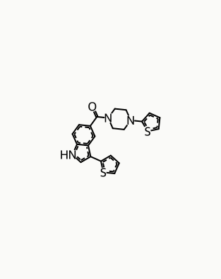 O=C(c1ccc2[nH]cc(-c3cccs3)c2c1)N1CCN(c2cccs2)CC1